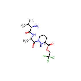 CC(C)C(N)C(=O)N[C@@H](C)C(=O)N1CCC[C@@H](C(=O)OCC(Cl)(Cl)Cl)N1